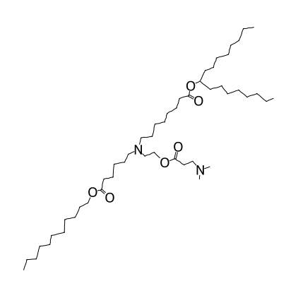 CCCCCCCCCCCOC(=O)CCCCCN(CCCCCCCC(=O)OC(CCCCCCCC)CCCCCCCC)CCOC(=O)CCN(C)C